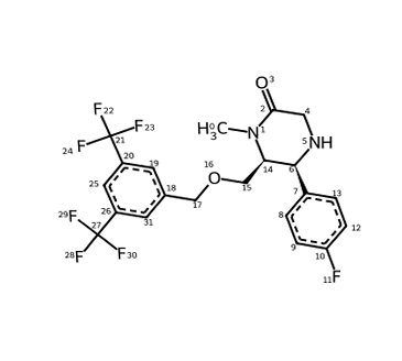 CN1C(=O)CN[C@@H](c2ccc(F)cc2)[C@H]1COCc1cc(C(F)(F)F)cc(C(F)(F)F)c1